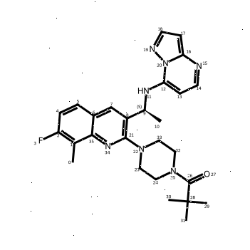 Cc1c(F)ccc2cc([C@H](C)Nc3ccnc4ccnn34)c(N3CCN(C(=O)C(C)(C)C)CC3)nc12